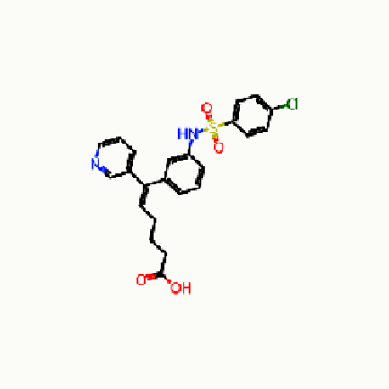 O=C(O)CCCC=C(c1cccnc1)c1cccc(NS(=O)(=O)c2ccc(Cl)cc2)c1